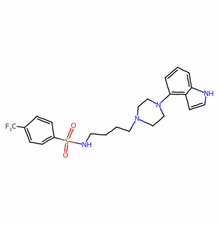 O=S(=O)(NCCCCN1CCN(c2cccc3[nH]ccc23)CC1)c1ccc(C(F)(F)F)cc1